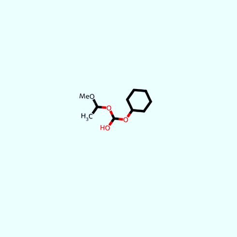 COC(C)OC(O)OC1CCCCC1